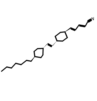 CCCCCCC[C@H]1CC[C@H](C=C[C@H]2CC[C@H](C=CC=CC#N)CC2)CC1